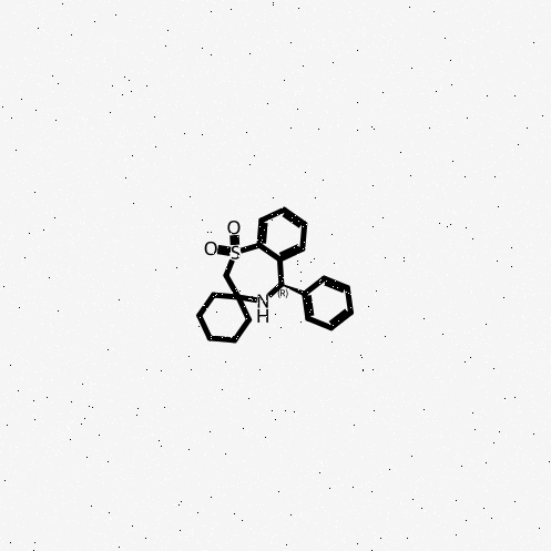 O=S1(=O)CC2(CCCCC2)N[C@H](c2ccccc2)c2ccccc21